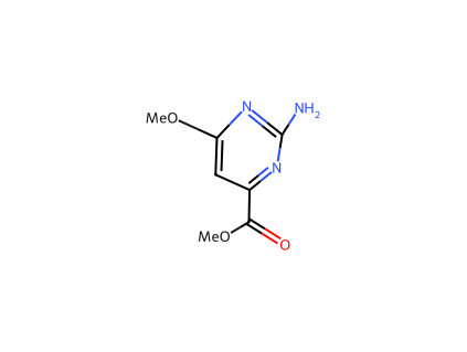 COC(=O)c1cc(OC)nc(N)n1